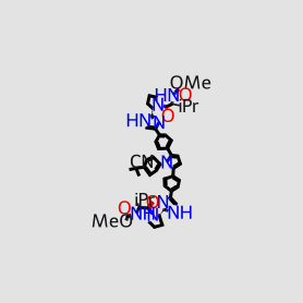 COC(=O)N[C@H](C(=O)N1CCC[C@H]1c1nc(-c2ccc(-c3ccc(-c4ccc(-c5c[nH]c([C@@H]6CCCN6C(=O)[C@@H](NC(=O)OC)C(C)C)n5)cc4)n3-c3ccc(C(C)(C)C#N)cc3)cc2)c[nH]1)C(C)C